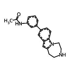 CC(=O)Nc1cccc(-c2ccc3c(c2)cc2n3CCNCC2)c1